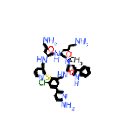 CN1C(=O)[C@H](CCCCN)NC(=O)[C@H](CCCN)NCc2cccnc2Sc2c(Cl)cc(-c3ccc(N)nc3)cc2CNC(=O)[C@@H]1Cc1c[nH]c2ccccc12